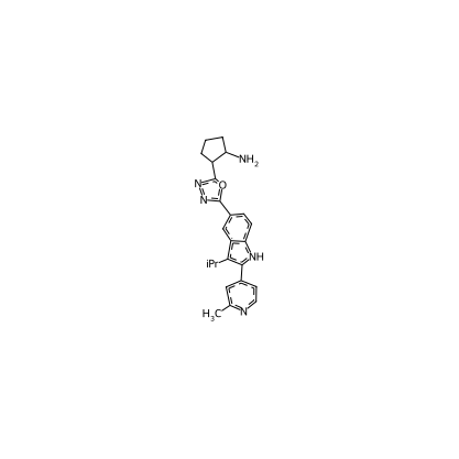 Cc1cc(-c2[nH]c3ccc(-c4nnc(C5CCCC5N)o4)cc3c2C(C)C)ccn1